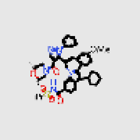 COc1ccc2c(c1)C=C(c1c(C(=O)N3C[C@@H](C)O[C@@H](C)C3)cnn1-c1ccccc1)Cn1c-2c(C2CCCCC2)c2ccc(C(=O)NS(=O)(=O)C(C)C)cc21